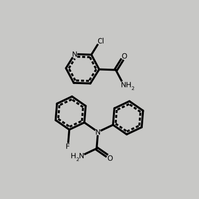 NC(=O)N(c1ccccc1)c1ccccc1F.NC(=O)c1cccnc1Cl